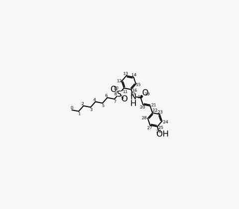 CCCCCCCCS(=O)(=O)c1ccccc1NC(=O)/C=C/c1ccc(O)cc1